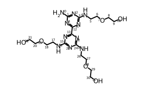 Nc1nc(NCCOCCO)nc(-c2nc(NCCOCCO)nc(NCCOCCO)n2)n1